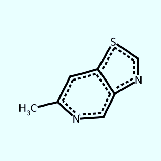 Cc1cc2scnc2cn1